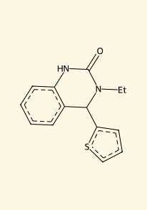 CCN1C(=O)Nc2ccccc2C1c1cccs1